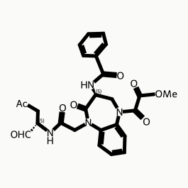 COC(=O)C(=O)N1C[C@H](NC(=O)c2ccccc2)C(=O)N(CC(=O)N[C@H](C=O)CC(C)=O)c2ccccc21